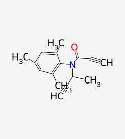 C#CC(=O)N(c1c(C)cc(C)cc1C)C(C)C#C